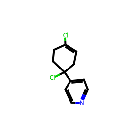 ClC1=CCC(Cl)(c2ccncc2)CC1